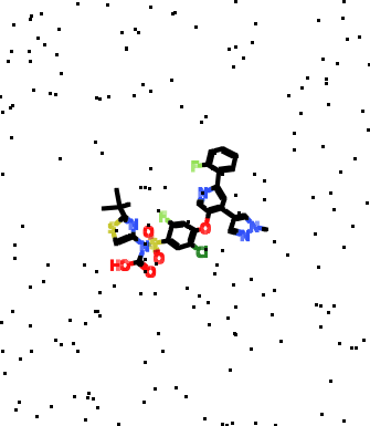 Cn1cc(-c2cc(-c3ccccc3F)ncc2Oc2cc(F)c(S(=O)(=O)N(C(=O)O)c3csc(C(C)(C)C)n3)cc2Cl)cn1